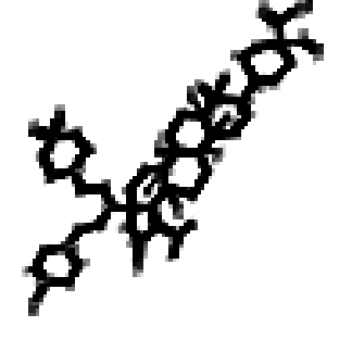 CC(C)C1=C2[C@H]3CC[C@@H]4[C@@]5(C)CC=C(C6=CC[C@](CF)(C(=O)O)CC6)C(C)(C)[C@@H]5CC[C@@]4(C)[C@]3(C)CC[C@@]2(N(CCN2CC[S+]([O-])CC2)CCN2CCS(=O)(=O)CC2)CC1=O